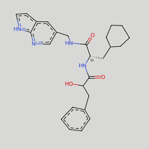 O=C(N[C@@H](CC1CCCCC1)C(=O)NCc1cnc2[nH]ccc2c1)C(O)Cc1ccccc1